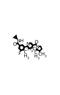 Cc1c(F)cc(C(=O)NC2CC2)cc1-c1ccc(C(=O)N2CCC(C)C2(C)C)cn1